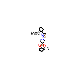 COc1ccccc1-c1csc(N2CCC(S(=O)(=O)c3ccccc3C#N)CC2)n1